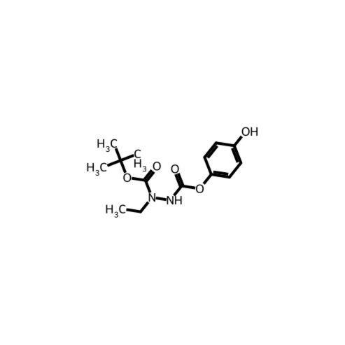 CCN(NC(=O)Oc1ccc(O)cc1)C(=O)OC(C)(C)C